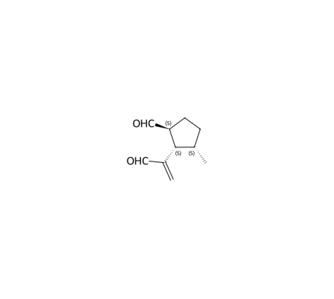 C=C(C=O)[C@H]1[C@@H](C)CC[C@@H]1C=O